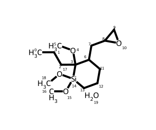 CCCC1(OC)C(CC2CO2)CCC[Si]1(OC)OC.O